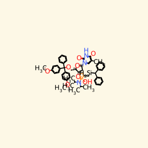 COc1ccc(C(OC[C@H]2O[C@@H](n3cc(C)c(=O)[nH]c3=O)C[C@@H]2O[PH](O)(CC[SiH2]C(c2ccccc2)c2ccccc2)N(C(C)C)C(C)C)(c2ccccc2)c2ccc(OC)cc2)cc1